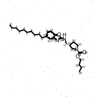 CCCCCCCCCCc1ccc2oc(NC[C@@H]3CCN(C(=O)OCCCC)C3)nc2c1